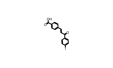 O=C(O)c1ccc(C=CC(=O)c2ccc(I)cc2)cc1